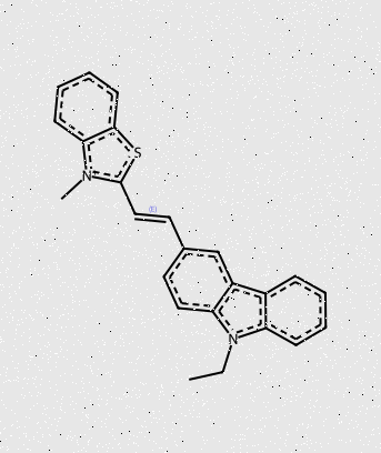 CCn1c2ccccc2c2cc(/C=C/c3sc4ccccc4[n+]3C)ccc21